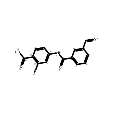 O=Cc1cccc(C(=O)Nc2ccc(C(=O)O)c(F)c2)c1